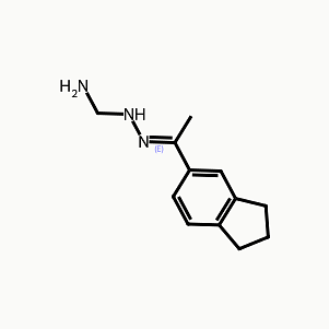 C/C(=N\NCN)c1ccc2c(c1)CCC2